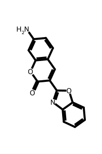 Nc1ccc2cc(-c3nc4ccccc4o3)c(=O)oc2c1